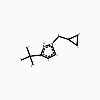 CC(C)(C)c1ccn(CC2CC2)n1